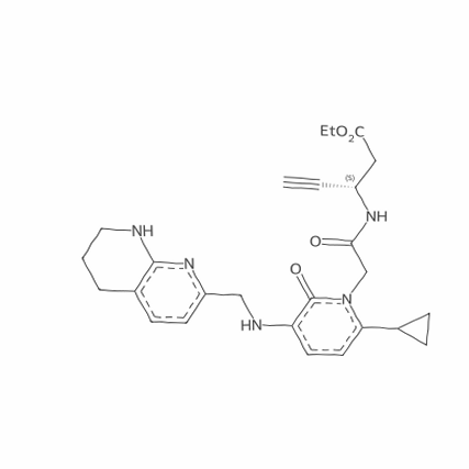 C#C[C@H](CC(=O)OCC)NC(=O)Cn1c(C2CC2)ccc(NCc2ccc3c(n2)NCCC3)c1=O